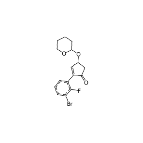 O=C1CC(OC2CCCCO2)C=C1c1cccc(Br)c1F